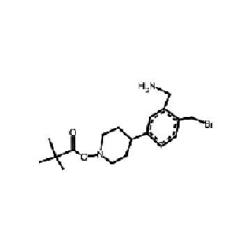 CC(C)(C)C(=O)ON1CCC(c2ccc(CBr)c(CN)c2)CC1